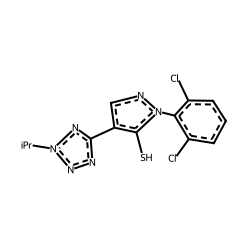 CC(C)n1nnc(-c2cnn(-c3c(Cl)cccc3Cl)c2S)n1